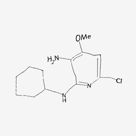 COc1cc(Cl)nc(NC2CCCCC2)c1N